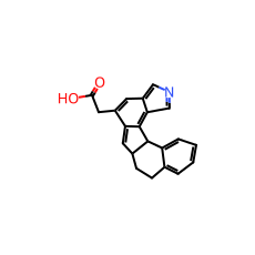 O=C(O)Cc1cc2c(c3c1=CC1CCc4ccccc4C31)C=NC=2